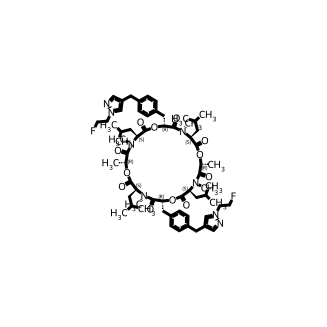 CC(C)C[C@H]1C(=O)O[C@H](Cc2ccc(Cc3cnn(CCF)c3)cc2)C(=O)N(C)[C@@H](CC(C)C)C(=O)O[C@H](C)C(=O)N(C)[C@@H](CC(C)C)C(=O)O[C@H](Cc2ccc(Cc3cnn(CCF)c3)cc2)C(=O)N(C)[C@@H](CC(C)C)C(=O)O[C@H](C)C(=O)N1C